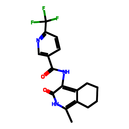 Cc1[nH]c(=O)c(NC(=O)c2ccc(C(F)(F)F)nc2)c2c1CCCC2